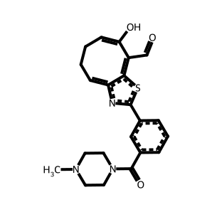 CN1CCN(C(=O)c2cccc(-c3nc4/c(s3)=C(C=O)\C(O)=C/CCC=4)c2)CC1